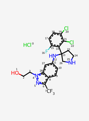 Cl.OCCn1nc(C(F)(F)F)c2ccc(NC3(c4c(F)ccc(Cl)c4Cl)CCNC3)cc21